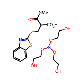 CNC(=O)C(CSc1nc2ccccc2s1)C(=O)O.OCCON(OCCO)OCCO